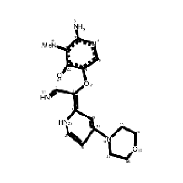 CNc1c(N)ncc(O/C(C=N)=C2\C=C(N3CCOCC3)C=CN2)c1Cl